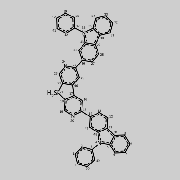 c1ccc(-n2c3ccccc3c3ccc(-c4cc5c(cn4)[SiH2]c4cnc(-c6ccc7c8ccccc8n(-c8ccccc8)c7c6)cc4-5)cc32)cc1